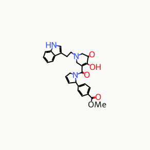 COC(=O)c1ccc(C2C=CCN2C(=O)C2=C(O)C(=O)CN(CCc3c[nH]c4ccccc34)C2)cc1